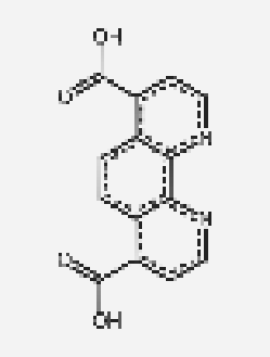 O=C(O)c1ccnc2c1ccc1c(C(=O)O)ccnc12